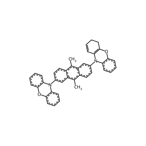 Cc1c2ccc(N3c4ccccc4Oc4ccccc43)cc2c(C)c2ccc(N3C4=C(CCC=C4)Oc4ccccc43)cc12